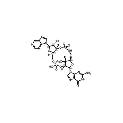 CO[C@H]1[C@H]2OP(=O)(O)OC[C@H]3O[C@@H](n4cnc5cncnc54)[C@H](O)[C@@H]3OS(=O)(=O)NC[C@H]1O[C@H]2n1cnc2c(=O)[nH]c(N)nc21